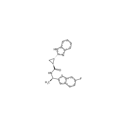 C[C@@H](NC(=O)[C@H]1C[C@@H]1c1nc2ccccc2[nH]1)c1cc2ccc(F)cc2s1